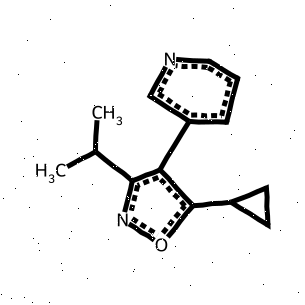 CC(C)c1noc(C2CC2)c1-c1cccnc1